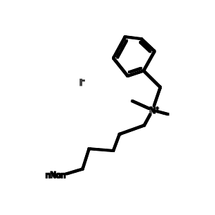 CCCCCCCCCCCCCC[N+](C)(C)Cc1ccccc1.[I-]